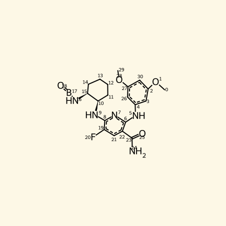 COc1cc(Nc2nc(N[C@@H]3CCCC[C@@H]3NB=O)c(F)cc2C(N)=O)cc(OC)c1